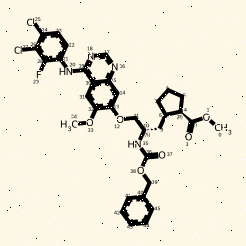 COC(=O)[C@@H]1CCCC1C[C@@H](COc1cc2ncnc(Nc3ccc(Cl)c(Cl)c3F)c2cc1OC)NC(=O)OCc1ccccc1